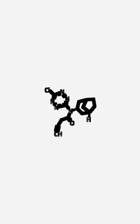 C#CCC(=O)N(c1nnc(Cl)nn1)[C@H]1CC2CC[C@@H](C2)C1